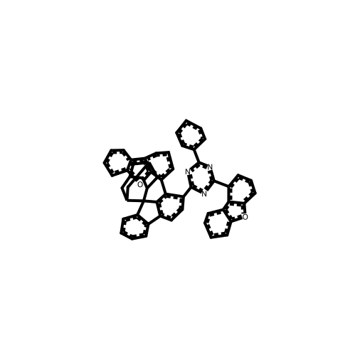 c1ccc(-c2nc(-c3ccc4c(c3-c3cccc5c3oc3ccccc35)C3(c5ccccc5-4)C4CC5CC(C4)CC3C5)nc(-c3cccc4oc5ccccc5c34)n2)cc1